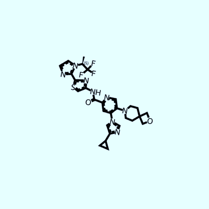 C[C@H](n1ccnc1-c1nc(NC(=O)c2cc(-n3cnc(C4CC4)c3)c(N3CCC4(CC3)COC4)cn2)cs1)C(F)(F)F